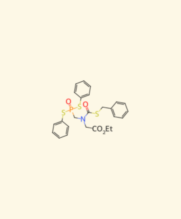 CCOC(=O)CN(CP(=O)(Sc1ccccc1)Sc1ccccc1)C(=O)SCc1ccccc1